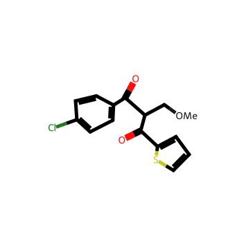 COCC(C(=O)c1ccc(Cl)cc1)C(=O)c1cccs1